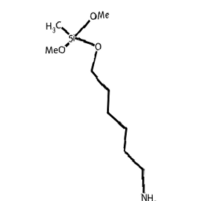 CO[Si](C)(OC)OCCCCCCN